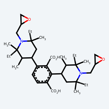 CCC1(C)CC(c2ccc(C(=O)O)c(C3CC(C)(CC)N(CC4CO4)C(C)(CC)C3C)c2C(=O)O)C(C)C(C)(CC)N1CC1CO1